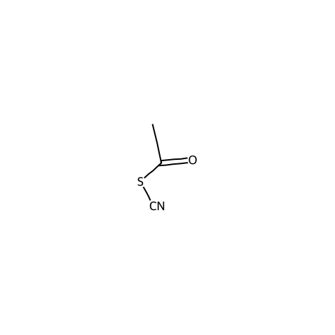 CC(=O)SC#N